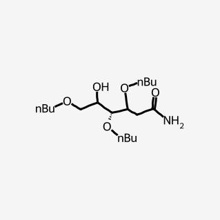 CCCCOCC(O)[C@@H](OCCCC)C(CC(N)=O)OCCCC